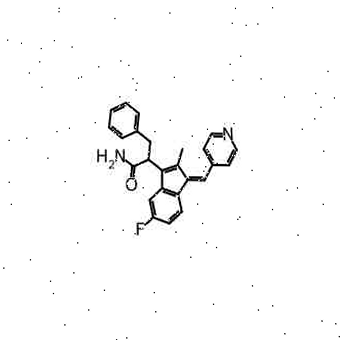 CC1=C(C(Cc2ccccc2)C(N)=O)c2cc(F)ccc2C1=Cc1ccncc1